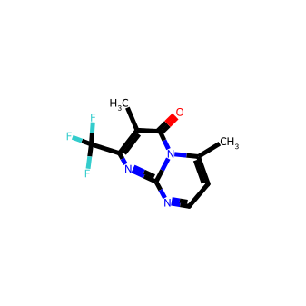 Cc1c(C(F)(F)F)nc2nccc(C)n2c1=O